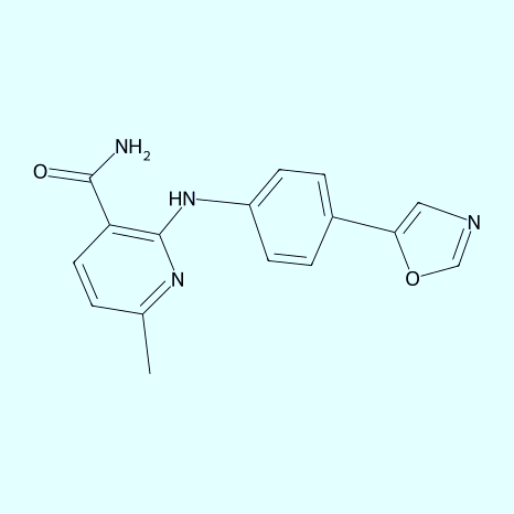 Cc1ccc(C(N)=O)c(Nc2ccc(-c3cnco3)cc2)n1